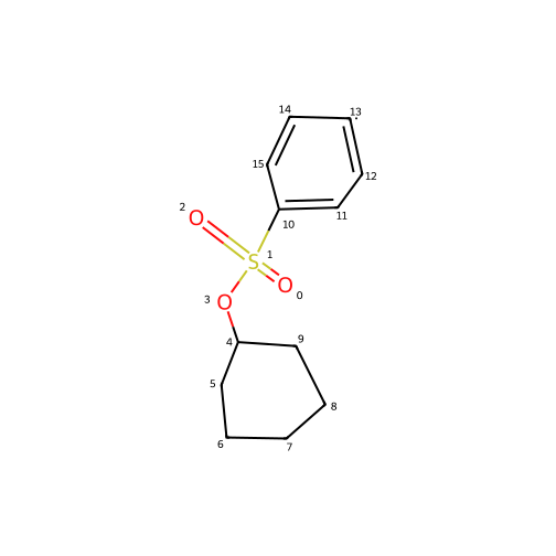 O=S(=O)(OC1CCCCC1)c1cc[c]cc1